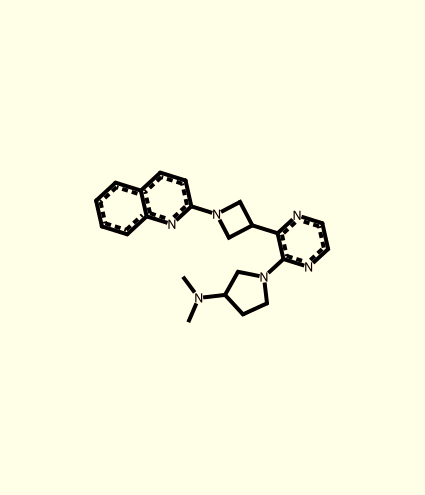 CN(C)C1CCN(c2nccnc2C2CN(c3ccc4ccccc4n3)C2)C1